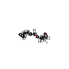 C[C@H](NC(=O)c1nc(Cl)cc2ccccc12)C(=O)Nc1ccc(-c2cc(-c3ccc(NC(=O)[C@H](C)NC(=O)c4nc(Cl)cc5ccccc45)cc3)[nH]n2)cc1